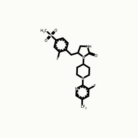 CS(=O)(=O)c1ccc(CC2CNC(=O)N2C2CCN(c3ncc(C(F)(F)F)cc3F)CC2)c(F)c1